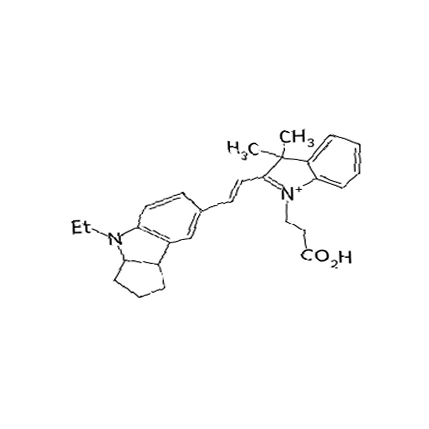 CCN1c2ccc(/C=C/C3=[N+](CCC(=O)O)c4ccccc4C3(C)C)cc2C2CCCC21